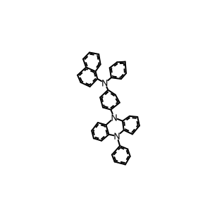 c1ccc(N2c3ccccc3N(c3ccc(N(c4ccccc4)c4cccc5ccccc45)cc3)c3ccccc32)cc1